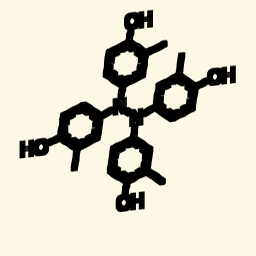 Cc1cc(N(c2ccc(O)c(C)c2)N(c2ccc(O)c(C)c2)c2ccc(O)c(C)c2)ccc1O